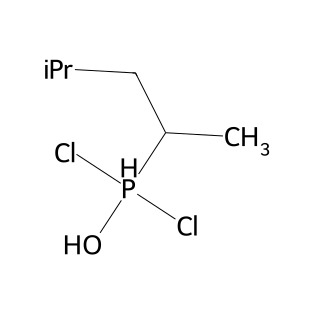 CC(C)CC(C)[PH](O)(Cl)Cl